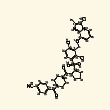 Cc1nc2c(OCc3c(Cl)ccc(S(=O)(=O)N4CCCC4C(=O)N4CCN(C(=O)c5ccc(C#N)cc5)CC4)c3Cl)cccn2c1Cl